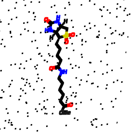 COC(=O)CCCCCNC(=O)CCCC[C@H]1[C@H]2NC(=O)N[C@H]2CS1(=O)=O